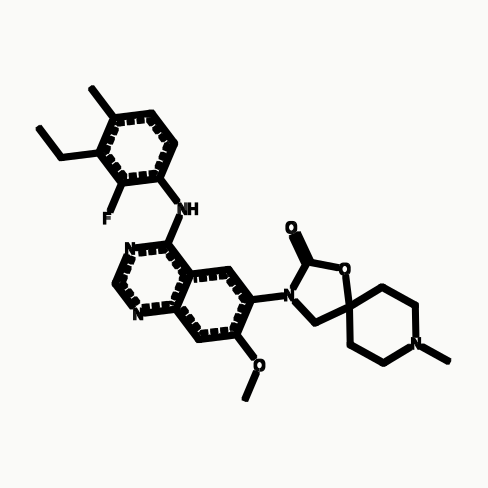 CCc1c(C)ccc(Nc2ncnc3cc(OC)c(N4CC5(CCN(C)CC5)OC4=O)cc23)c1F